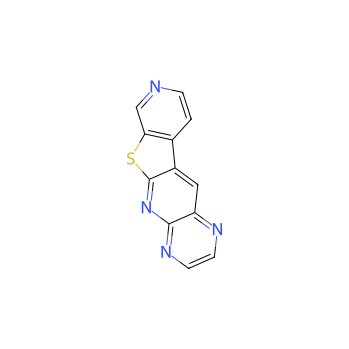 c1cc2c(cn1)sc1nc3nccnc3cc12